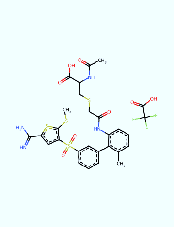 CSc1sc(C(=N)N)cc1S(=O)(=O)c1cccc(-c2c(C)cccc2NC(=O)CSCC(NC(C)=O)C(=O)O)c1.O=C(O)C(F)(F)F